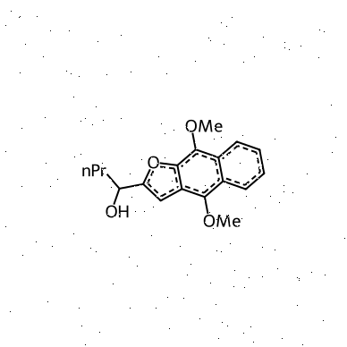 [CH2]CCC(O)c1cc2c(OC)c3ccccc3c(OC)c2o1